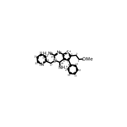 COCCc1sc2c(c1-c1ccccc1)C(N)N(Cc1ccccn1)C(N)=N2